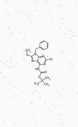 COc1nc2c(NC(=O)OC(C)(C)C)nc(Cl)nc2n1Cc1ccccc1